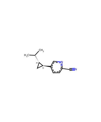 CC(C)[C@H]1C[C@@H]1c1ccc(C#N)nc1